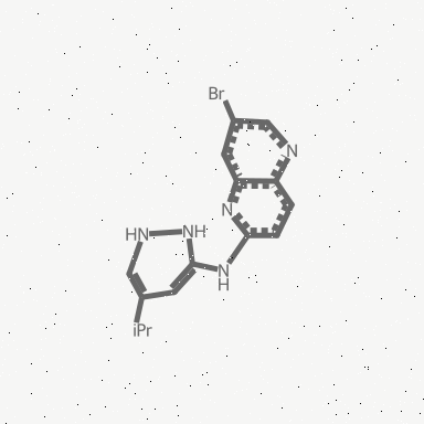 CC(C)C1=CNNC(Nc2ccc3ncc(Br)cc3n2)=C1